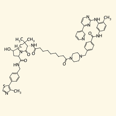 Cc1ccc(NC(=O)c2ccc(CN3CCN(C(=O)CCCCCCCC(=O)N[C@H](C(=O)N4CC(O)CC4C(=O)NCc4ccc(-c5scnc5C)cc4)C(C)(C)C)CC3)cc2)cc1Nc1nccc(-c2cccnc2)n1